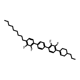 CCCCCCCCCc1ccc(-c2ccc(-c3ccc(C4=CCC(CCC)CC4)c(F)c3F)cc2)c(F)c1F